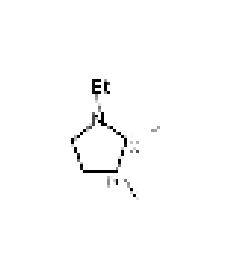 CCN1CC[C@@H](C)[C@H]1C